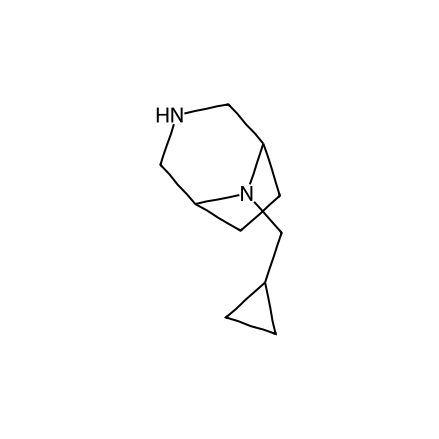 C1CC1CN1C2CCC1CNC2